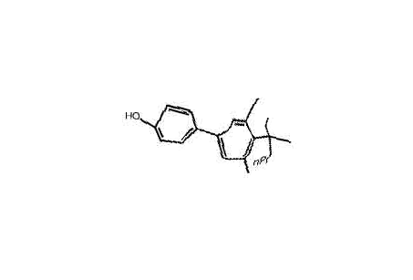 CCCC(C)(C)c1c(C)cc(-c2ccc(O)cc2)cc1C